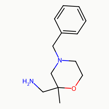 CC1(CN)CN(Cc2ccccc2)CCO1